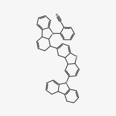 N#Cc1ccccc1N1c2ccccc2C2C=CCC(C3=CC=C4SC5C=CC(N6C7=CC=CCC7C7=C6C=CCC7)=CC5C4C3)C21